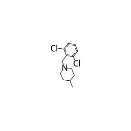 CC1CCN(Cc2c(Cl)cccc2Cl)CC1